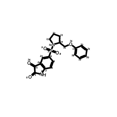 O=C1Nc2ccc(S(=O)(=O)N3CCCC3COc3ccccc3)cc2C1=O